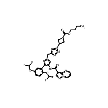 CCCCOC(=O)N1CC(n2nnc(Cn3cc(NC(=O)c4cnn5cccnc45)c(-c4cc(OC(F)F)ccc4OC(F)F)n3)n2)C1